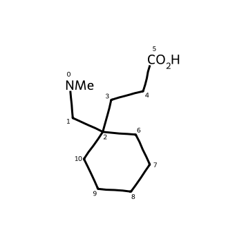 CNCC1(CCC(=O)O)CCCCC1